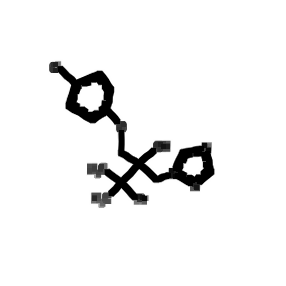 CC(C)C(C)(C)C(O)(COc1ccc(Cl)cc1)Cn1cncn1